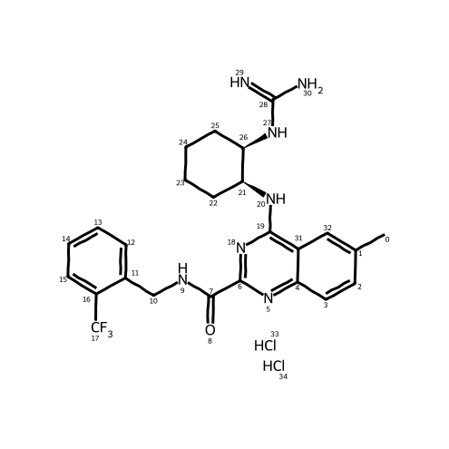 Cc1ccc2nc(C(=O)NCc3ccccc3C(F)(F)F)nc(N[C@H]3CCCC[C@H]3NC(=N)N)c2c1.Cl.Cl